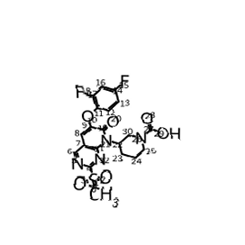 CS(=O)(=O)c1ncc2cc(Oc3ccc(F)cc3F)c(=O)n(C3CCCN(C(=O)O)C3)c2n1